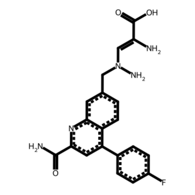 NC(=O)c1cc(-c2ccc(F)cc2)c2ccc(CN(N)/C=C(\N)C(=O)O)cc2n1